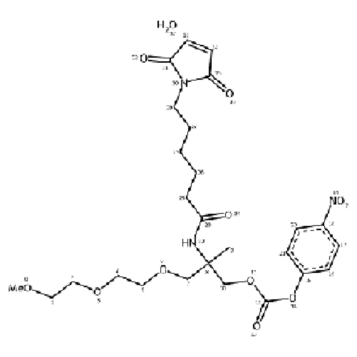 COCCOCCOCC(C)(COC(=O)Oc1ccc([N+](=O)[O-])cc1)NC(=O)CCCCCN1C(=O)C=CC1=O.O